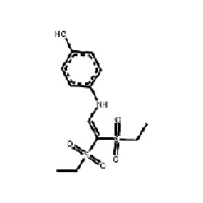 CCS(=O)(=O)C(=CNc1ccc(O)cc1)S(=O)(=O)CC